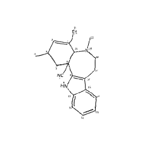 CCC1=CC(C)CC2(C#N)c3[nH]c4ccccc4c3CCN(C)C12